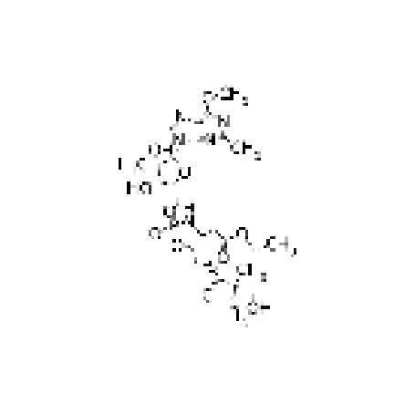 CCOC(=O)CCNP(=O)(OCCSC(=O)C(C)(C)CO)OC[C@H]1O[C@@H](n2cnc3c(OC)nc(C)nc32)C(C)(O)[C@H]1O